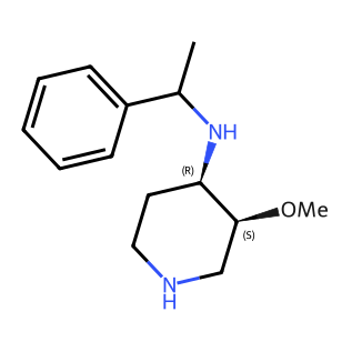 CO[C@H]1CNCC[C@H]1NC(C)c1ccccc1